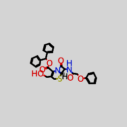 O=C(COc1ccccc1)NC1C(=O)N2C(C(=O)OC(c3ccccc3)c3ccccc3)=C(CO)CS[C@H]12